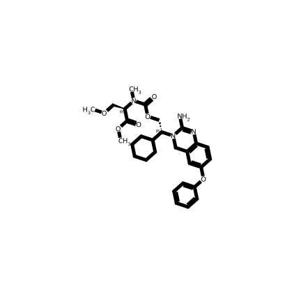 COC[C@H](C(=O)OC)N(C)C(=O)OC[C@@H](C1CCCCC1)N1Cc2cc(Oc3ccccc3)ccc2N=C1N